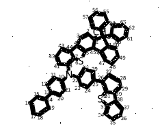 CC12C=Cc3c(sc4c(N(c5ccc(-c6ccccc6)cc5)c5ccc(-c6cccc7c6sc6ccccc67)cc5)cccc34)C1c1ccccc1C2(c1ccccc1)c1ccccc1